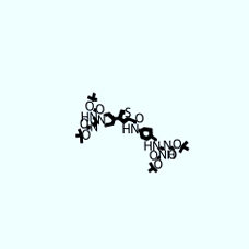 CC(C)(C)OC(=O)N=C(NCc1ccc(NC(=O)c2cc(C3=CCN(C(=NC(=O)OC(C)(C)C)NC(=O)OC(C)(C)C)CC3)cs2)cc1)NC(=O)OC(C)(C)C